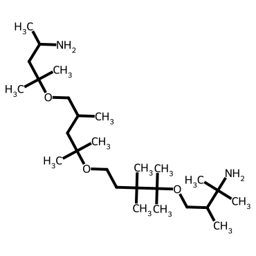 CC(N)CC(C)(C)OCC(C)CC(C)(C)OCCC(C)(C)C(C)(C)OCC(C)C(C)(C)N